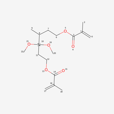 C=C(C)C(=O)OCCC(C)[Si](CCOC(=O)C(=C)C)(OC)OC